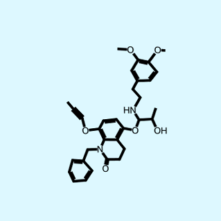 CC#COc1ccc(OC(NCCc2ccc(OC)c(OC)c2)C(C)O)c2c1N(Cc1ccccc1)C(=O)CC2